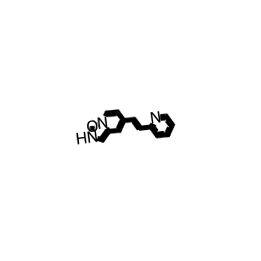 C(=Cc1ccccn1)C1=CC2=CNON2C=C1